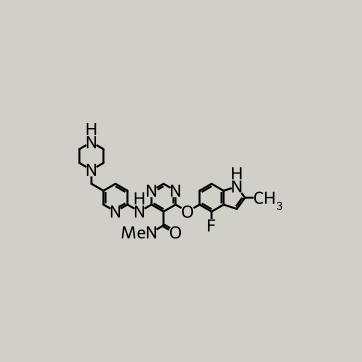 CNC(=O)c1c(Nc2ccc(CN3CCNCC3)cn2)ncnc1Oc1ccc2[nH]c(C)cc2c1F